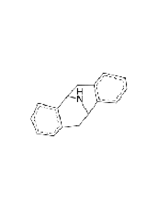 c1ccc2c(c1)CC1NC2Cc2ccccc21